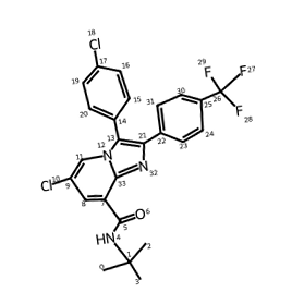 CC(C)(C)NC(=O)c1cc(Cl)cn2c(-c3ccc(Cl)cc3)c(-c3ccc(C(F)(F)F)cc3)nc12